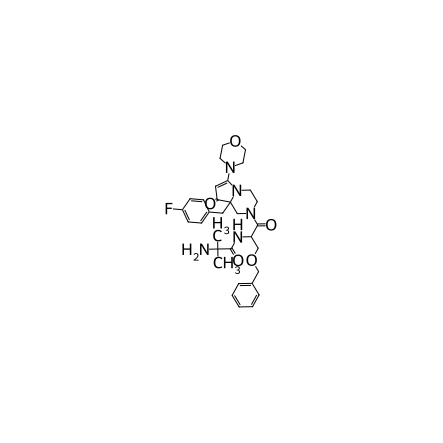 CC(C)(N)C(=O)NC(COCc1ccccc1)C(=O)N1CCN2C(N3CCOCC3)=CC(=O)C2(Cc2ccc(F)cc2)C1